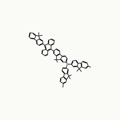 Cc1ccc2c(c1)C(C)(C)c1cc(N(c3ccc4c(c3)C(C)(C)c3cc(C)ccc3-4)c3ccc4c(c3)C(C)(C)c3cc(-c5c6ccccc6c(-c6ccc7c(c6)C(C)(C)c6ccccc6-7)c6ccccc56)ccc3-4)ccc1-2